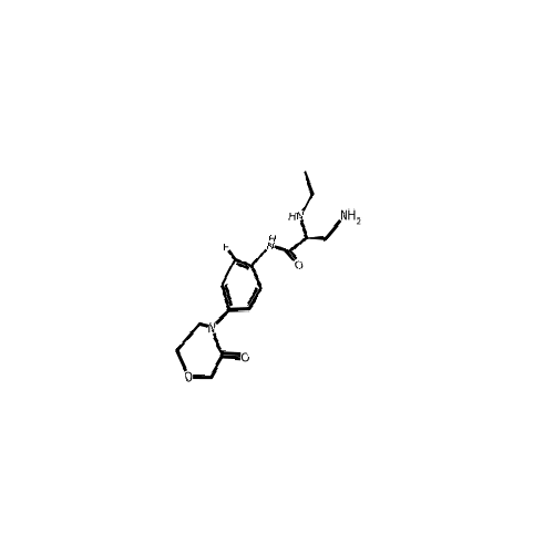 CCN[C@@H](CN)C(=O)Nc1ccc(N2CCOCC2=O)cc1F